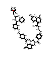 O=C(NC(c1ccccc1)c1cccc(OCc2ccc(C(=O)OCCN(Cc3ccc(Cl)cc3)C(=O)c3ccc(CNCC(O)c4ccc(O)c5[nH]c(=O)ccc45)cc3)cc2)c1)O[C@H]1CN2CCC1CC2